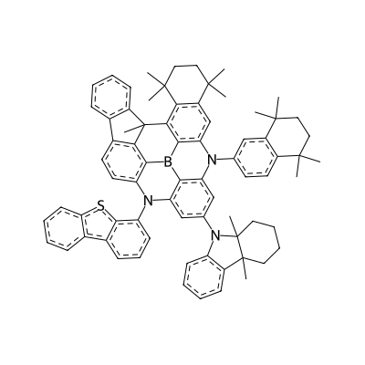 CC1(C)CCC(C)(C)c2cc(N3c4cc(N5c6ccccc6C6(C)CCCCC56C)cc5c4B4c6c(ccc7c6C(C)(c6ccccc6-7)c6c4c3cc3c6C(C)(C)CCC3(C)C)N5c3cccc4c3sc3ccccc34)ccc21